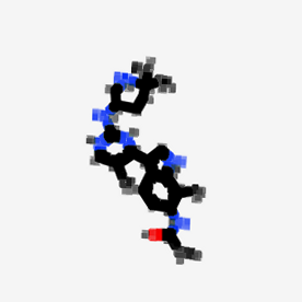 COC(=O)Nc1ccc2c(-c3nc(NC4CCC(C)(C)NC4)ncc3C(F)(F)F)c[nH]c2c1C(C)=O